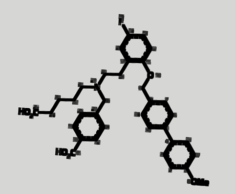 COc1ccc(-c2ccc(COc3ccc(F)cc3CCN(CCCCC(=O)O)Cc3ccc(C(=O)O)cc3)cc2)cc1